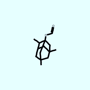 CC1C2CC3(C)CC(C)(C2)CC1(OC=O)C3